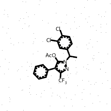 CC(=O)Oc1c(-c2ccccc2)c(C(F)(F)F)nn1C(C)c1ccc(Cl)c(Cl)c1